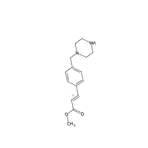 COC(=O)/C=C/c1ccc(CN2CCNCC2)cc1